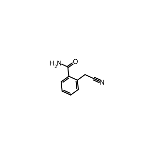 N#CCc1ccccc1C(N)=O